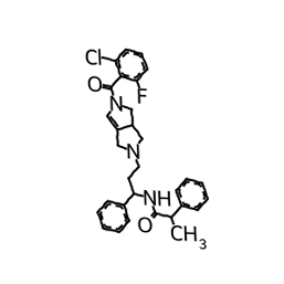 CC(C(=O)NC(CCN1CC2=CN(C(=O)c3c(F)cccc3Cl)CC2C1)c1ccccc1)c1ccccc1